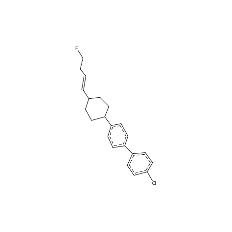 FCCC=CC1CCC(c2ccc(-c3ccc(Cl)cc3)cc2)CC1